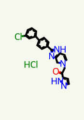 Cl.O=C(CN1C=Cc2[nH]c(-c3ccc(-c4cccc(Cl)c4)cc3)nc2C1)c1ccn[nH]1